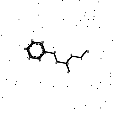 CCC[C](C)CCc1ccccc1